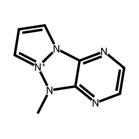 Cn1c2nccnc2n2ccc[n+]12